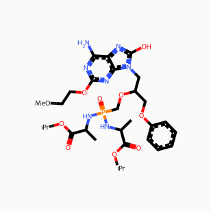 COCCOc1nc(N)c2nc(O)n(CC(COc3ccccc3)OCP(=O)(NC(C)C(=O)OC(C)C)NC(C)C(=O)OC(C)C)c2n1